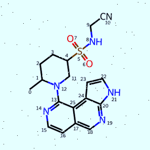 CC1CCC(S(=O)(=O)NCC#N)CN1c1nccc2cnc3[nH]ccc3c12